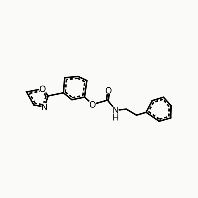 O=C(NCCc1ccccc1)Oc1cccc(-c2ncco2)c1